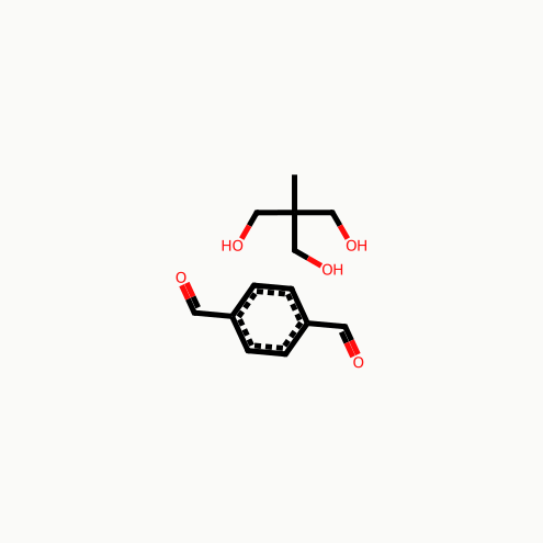 CC(CO)(CO)CO.O=Cc1ccc(C=O)cc1